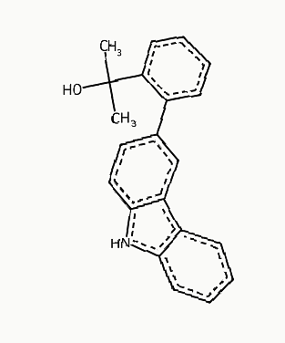 CC(C)(O)c1ccccc1-c1ccc2[nH]c3ccccc3c2c1